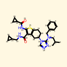 CC(C)CN(Cc1ccccc1)c1nncn1[C@@H]1CCc2sc(NC(=O)C3CC3)c(C(=O)NCC3CC3)c2C1